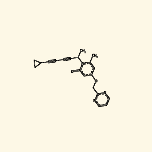 Cc1cc(OCc2ncccn2)cc(=O)n1C(C)C#CC#CC1CC1